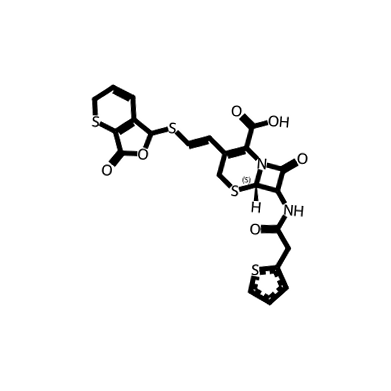 O=C(Cc1cccs1)NC1C(=O)N2C(C(=O)O)=C(C=CSC3OC(=O)C4=C3C=CCS4)CS[C@@H]12